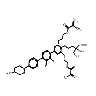 C=C(C)C(=O)OCCCc1cc(-c2ccc(-c3ccc(C4CCC(C)CC4)cc3)c(F)c2F)cc(CCCOC(=O)C(=C)C)c1OCCC(CO)(CO)CCCC